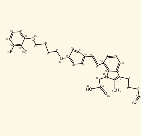 Cc1c(CCCC(=O)O)c2cccc(C=Cc3ccc(OCCCCOc4cccc(F)c4F)cc3)c2n1CC(=O)O